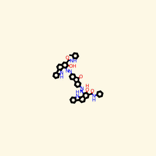 Cc1ccccc1NC(=O)c1cc2ccc3c4ccccc4[nH]c3c2c(N=Nc2ccc3c(c2)C(=O)c2cc(N=Nc4c(O)c(C(=O)Nc5ccccc5)cc5ccc6c7ccccc7[nH]c6c45)ccc2-3)c1O